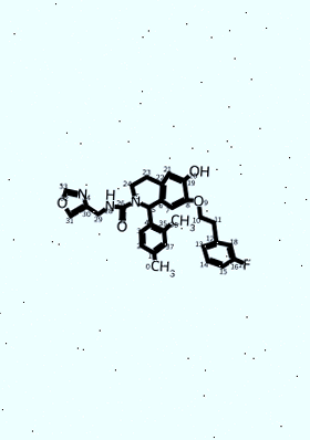 Cc1ccc(C2c3cc(OCCc4cccc(F)c4)c(O)cc3CCN2C(=O)NCc2cocn2)c(C)c1